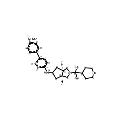 [2H]C([2H])(C1CCOCC1)N1C[C@H]2CC(Nc3ccc(-c4ccc(NC(C)=O)cc4)nn3)C[C@H]2C1